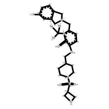 [2H]C([2H])([2H])n1c(CN2Cc3ccc(F)cc3C2)ccc(OCC2CCN(S(=O)(=O)C3COC3)CC2)c1=O